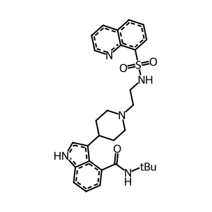 CC(C)(C)NC(=O)c1cccc2[nH]cc(C3CCN(CCNS(=O)(=O)c4cccc5cccnc45)CC3)c12